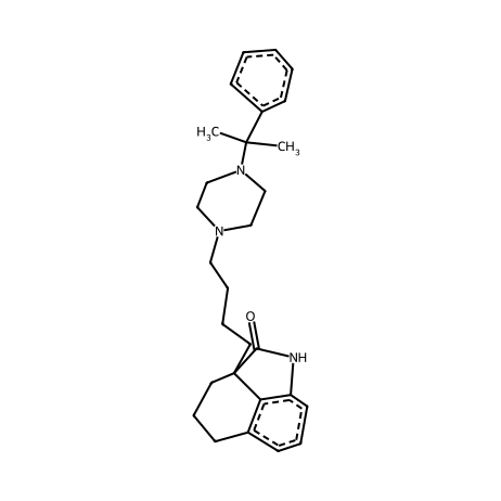 CC(C)(c1ccccc1)N1CCN(CCCCC23CCCc4cccc(c42)NC3=O)CC1